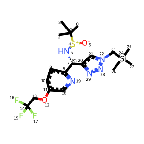 CC(C)(C)[S+]([O-])N[C@@H](c1ccc(OCC(F)(F)F)cn1)c1cn(C[Si](C)(C)C)nn1